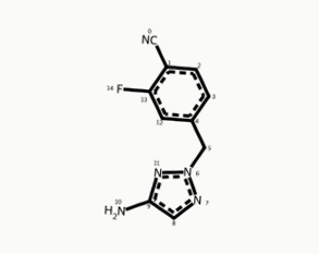 N#Cc1ccc(Cn2ncc(N)n2)cc1F